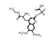 CCOC(=O)[C@@H](N)Cc1cc(=O)oc2cc(OC)c(OC)cc12.O=C(O)C(F)(F)F